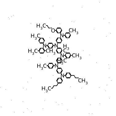 CCCCOc1cccc(N(c2ccc(N(c3ccc(N(c4ccc(C)cc4)c4cc(C)ccc4C)cc3)c3ccc(N(c4ccc(N(c5ccc(C)cc5)c5ccc(N(c6ccc(CCCC)cc6)c6ccc(CCCC)cc6)cc5)cc4)c4c(C)cc(C)cc4C)cc3)cc2)c2cccc(C)c2)c1